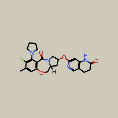 Cc1cc2c(c(N3CCCC3)c1F)C(=O)N1C[C@@H](Oc3cc4c(cn3)CCC(=O)N4)C[C@@H]1CO2